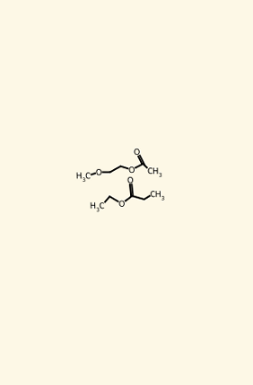 CCOC(=O)CC.COCCOC(C)=O